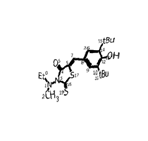 CCN(C)N1C(=O)/C(=C/c2cc(C(C)(C)C)c(O)c(C(C)(C)C)c2)SC1=S